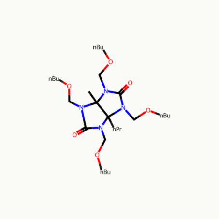 CCCCOCN1C(=O)N(COCCCC)C2(CCC)N(COCCCC)C(=O)N(COCCCC)C12C